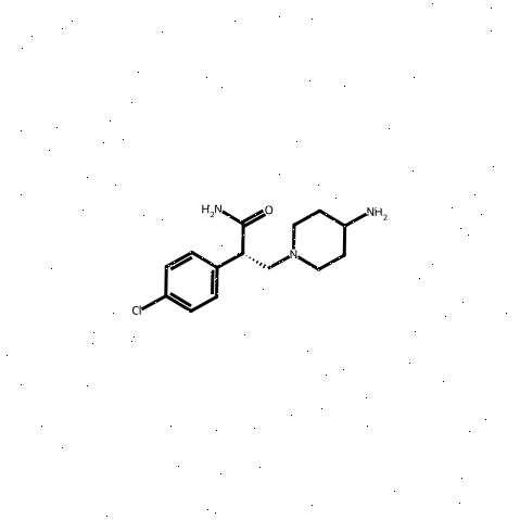 NC(=O)[C@H](CN1CCC(N)CC1)c1ccc(Cl)cc1